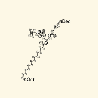 CCCCCCCC/C=C\CCCCCCCCCCCCCC(=O)O[C@H](COC(=O)CCCCCCCCCCCCCCC)COP(=O)([O-])OCC[N+](C)(C)C